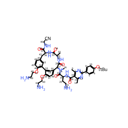 Cc1nc(-c2ccc(OC(C)(C)C)cc2)nc(C)c1C(=O)NC(CCN)C(=O)N(C)C1C(=O)NC(C)C(=O)NC(C(=O)NCC#N)Cc2ccc(OCCN)c(c2)-c2cc1ccc2OCCN